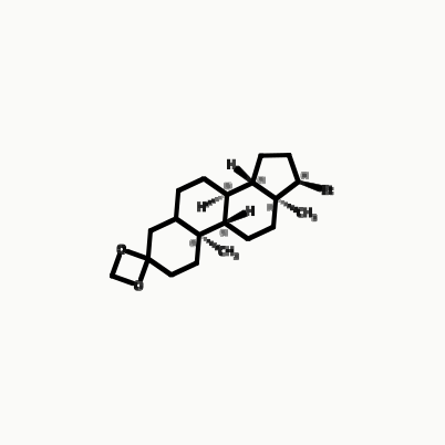 CC[C@@H]1CC[C@H]2[C@@H]3CCC4CC5(CC[C@]4(C)[C@H]3CC[C@]12C)OCO5